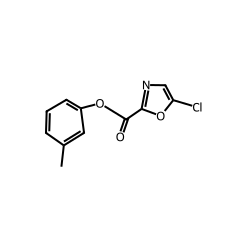 Cc1cccc(OC(=O)c2ncc(Cl)o2)c1